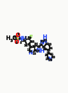 CS(=O)(=O)NCc1cc(F)cc(-c2cncc3[nH]c(-c4n[nH]c5ccc(-c6ccncc6)cc45)cc23)c1